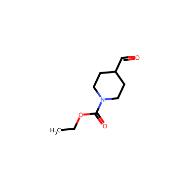 CCOC(=O)N1CCC([C]=O)CC1